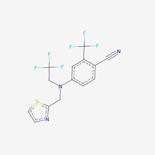 N#Cc1ccc(N(Cc2nccs2)CC(F)(F)F)cc1C(F)(F)F